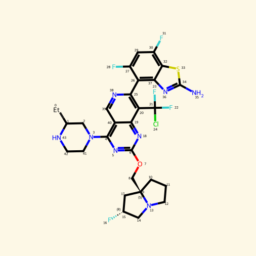 CCC1CN(c2nc(OC[C@@]34CCCN3C[C@H](F)C4)nc3c(C(F)(F)Cl)c(-c4c(F)cc(F)c5sc(N)nc45)ncc23)CCN1